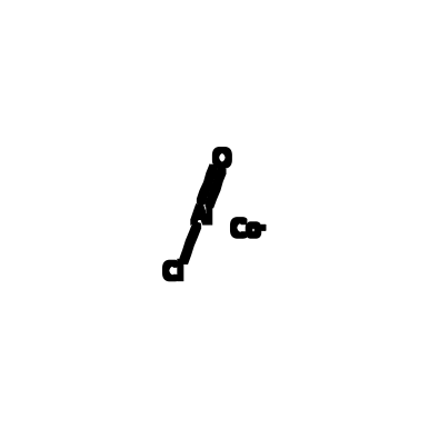 [Co].[O]=[Al][Cl]